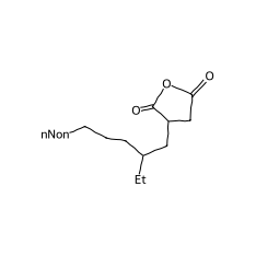 CCCCCCCCCCCCC(CC)CC1CC(=O)OC1=O